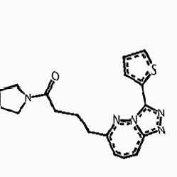 O=C(CCCc1ccc2nnc(-c3cccs3)n2n1)N1CCCC1